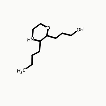 CCCCC1NCCOC1CCCO